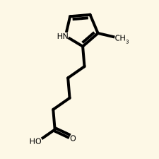 Cc1cc[nH]c1CCCCC(=O)O